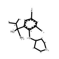 BC(O)(c1cc(F)cc(F)c1OC1CCOCC1)C(C)C